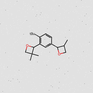 CC1COC1c1ccc(C(C)(C)C)c(C2OCC2(C)C)c1